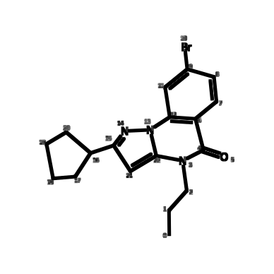 CCCn1c(=O)c2ccc(Br)cc2n2nc(C3CCCC3)cc12